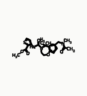 COC(=O)c1sccc1NC(=O)N1CCOc2ccc(CN(C)C(C)=O)cc2C1(C)C